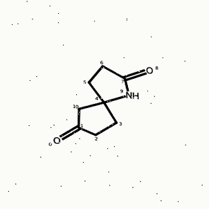 O=C1CCC2(CCC(=O)N2)C1